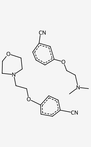 CN(C)CCOc1cccc(C#N)c1.N#Cc1ccc(OCCN2CCOCC2)cc1